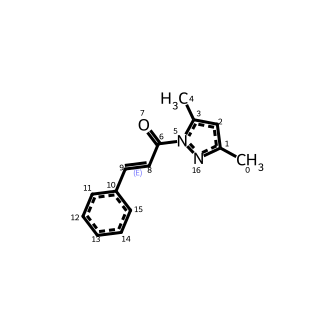 Cc1cc(C)n(C(=O)/C=C/c2ccccc2)n1